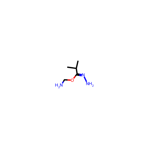 CC(C)/C(=N/N)OCN